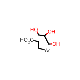 CC(=O)CCC(=O)O.OCC(O)CO